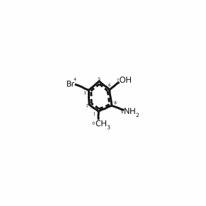 Cc1cc(Br)cc(O)c1N